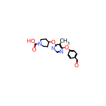 Cc1c(Oc2ccc(C=O)cc2)ncnc1OC1CCN(C(=O)O)CC1